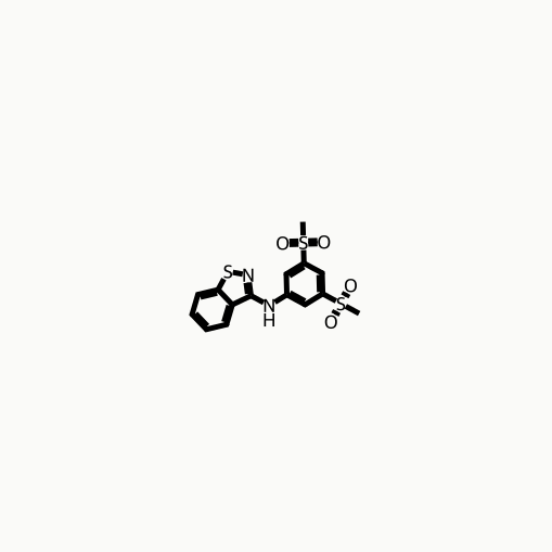 CS(=O)(=O)c1cc(Nc2nsc3ccccc23)cc(S(C)(=O)=O)c1